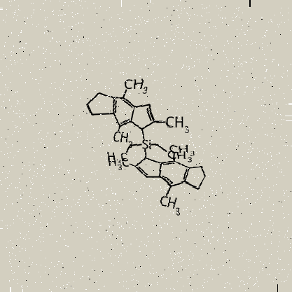 CC[Si](CC)(C1C(C)=Cc2c(C)c3c(c(C)c21)CCC3)C1C(C)=Cc2c(C)c3c(c(C)c21)CCC3